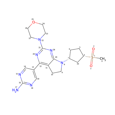 CS(=O)(=O)[C@H]1CC[C@@H](N2CCc3c(-c4cnc(N)nc4)nc(N4CCOCC4)nc32)C1